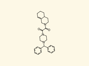 O=C(C(=O)N1CCC2CCCC=C2C1)N1CCN(C(c2ccccc2)c2ccccc2)CC1